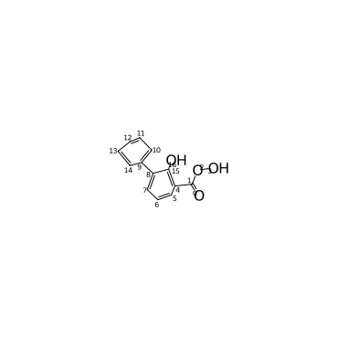 O=C(OO)c1cccc(-c2ccccc2)c1O